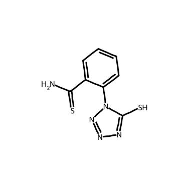 NC(=S)c1ccccc1-n1nnnc1S